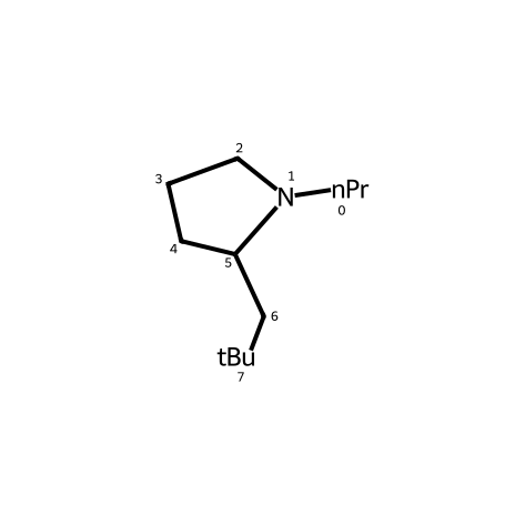 CCCN1CCCC1CC(C)(C)C